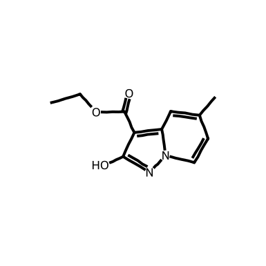 CCOC(=O)c1c(O)nn2ccc(C)cc12